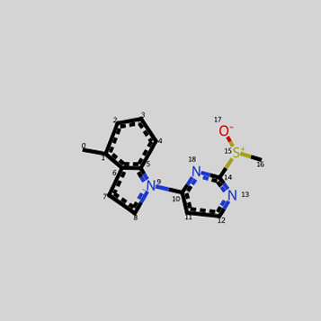 Cc1cccc2c1ccn2-c1ccnc([S+](C)[O-])n1